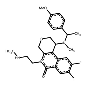 COc1ccc(C(C)N(C)C2COCc3c2c2cc(F)c(F)cc2c(=O)n3CCNC(=O)O)cc1